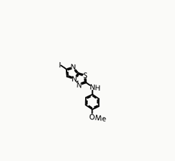 COc1ccc(Nc2nn3cc(I)nc3s2)cc1